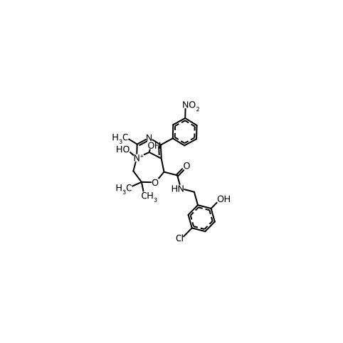 CC1=NC(c2cccc([N+](=O)[O-])c2)=C2C(C(=O)NCc3cc(Cl)ccc3O)OC(C)(C)C[N+]1(O)C2O